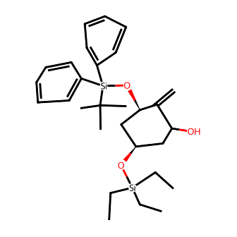 C=C1C(O)C[C@@H](O[Si](CC)(CC)CC)C[C@H]1O[Si](c1ccccc1)(c1ccccc1)C(C)(C)C